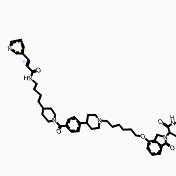 O=C(/C=C/c1cccnc1)NCCCCC1CCN(C(=O)c2ccc(C3CCN(CCCCCCOc4cccc5c4CN(C4CCC(=O)NC4=O)C5=O)CC3)cc2)CC1